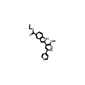 CCOC(=O)c1ccc2[nH]c(-c3cc(-c4ccncc4)nnc3OC)cc2c1